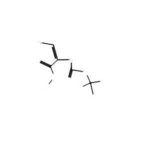 COC(=O)/C(=C\N)NC(=O)OC(C)(C)C